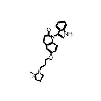 C[C@@H]1CCCN1CCCOc1ccc2c(c1)CCC(=O)N2c1c[nH]c2ccccc12